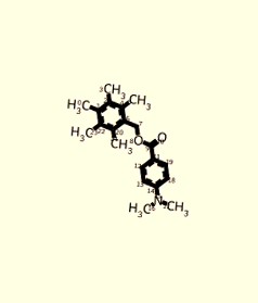 Cc1c(C)c(C)c(COC(=O)c2ccc(N(C)C)cc2)c(C)c1C